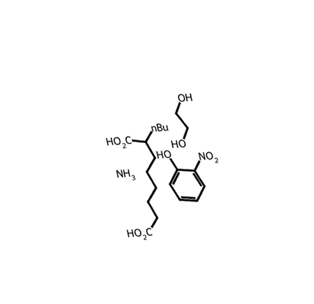 CCCCC(CCCCCC(=O)O)C(=O)O.N.O=[N+]([O-])c1ccccc1O.OCCO